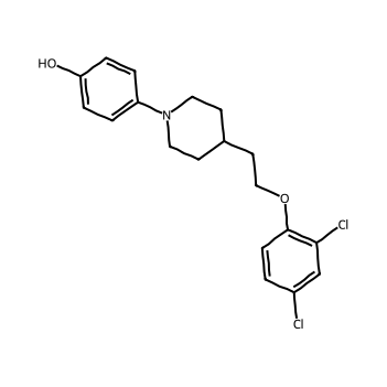 Oc1ccc(N2CCC(CCOc3ccc(Cl)cc3Cl)CC2)cc1